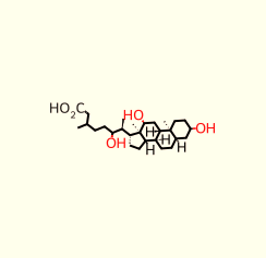 CC(CCC(O)[C@@H](C)[C@H]1CC[C@H]2[C@@H]3CC[C@@H]4C[C@H](O)CC[C@]4(C)[C@H]3C[C@H](O)[C@]12C)CC(=O)O